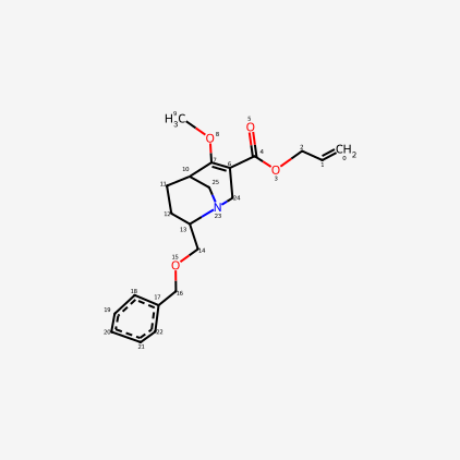 C=CCOC(=O)C1=C(OC)C2CCC(COCc3ccccc3)N(C1)C2